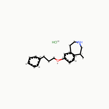 CC1CNCCc2cc(OCCCc3ccccc3)ccc21.Cl